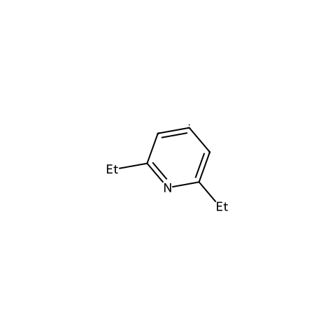 CCc1c[c]cc(CC)n1